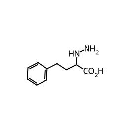 NNC(CCc1ccccc1)C(=O)O